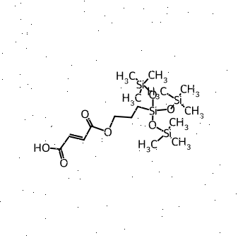 C[Si](C)(C)O[Si](CCCOC(=O)C=CC(=O)O)(O[Si](C)(C)C)O[Si](C)(C)C